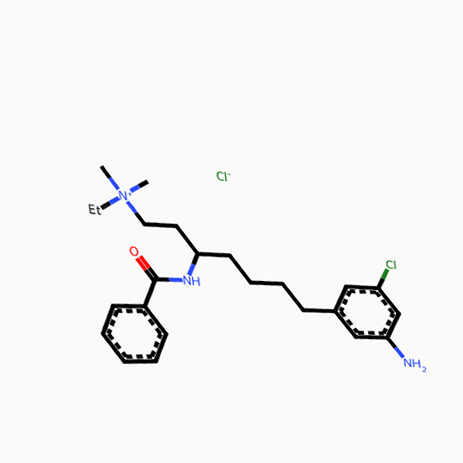 CC[N+](C)(C)CCC(CCCCc1cc(N)cc(Cl)c1)NC(=O)c1ccccc1.[Cl-]